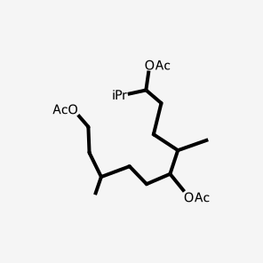 CC(=O)OCCC(C)CCC(OC(C)=O)C(C)CCC(OC(C)=O)C(C)C